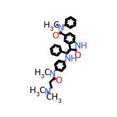 CN(C)CCC(=O)N(C)c1ccc(N/C(=C2\C(=O)Nc3ccc(C(=O)N(C)c4ccccc4)cc32)c2ccccc2)cc1